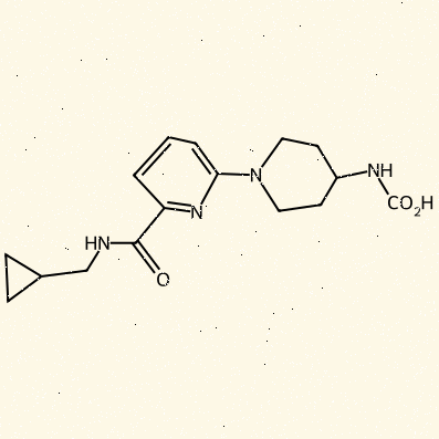 O=C(O)NC1CCN(c2cccc(C(=O)NCC3CC3)n2)CC1